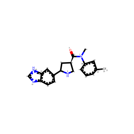 CN(C(=O)[C@H]1CNC(c2ccc3nc[nH]c3c2)C1)c1cccc(C(F)(F)F)c1